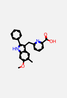 COc1cc2[nH]c(-c3ccccc3)c(Cc3cccc(C(=O)O)n3)c2cc1C